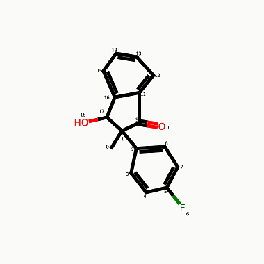 CC1(c2ccc(F)cc2)C(=O)c2ccccc2C1O